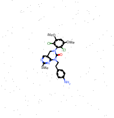 COc1cc(OC)c(Cl)c(N2Cc3cnc(SC)nc3N(CCc3ccc(N)cc3)C2=O)c1Cl